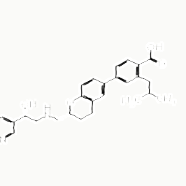 CC(C)Cc1cc(-c2ccc3c(c2)CC[C@H](CNC[C@@H](O)c2cccnc2)O3)ccc1C(=O)O